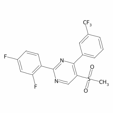 CS(=O)(=O)c1cnc(-c2ccc(F)cc2F)nc1-c1cccc(C(F)(F)F)c1